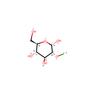 OC[C@H]1O[C@H](O)[C@H](OF)[C@@H](O)[C@@H]1O